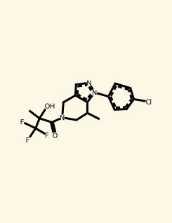 CC1CN(C(=O)C(C)(O)C(F)(F)F)Cc2cnn(-c3ccc(Cl)cc3)c21